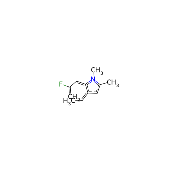 C=C(F)/C=c1\c(=C/C)cc(C)n1C